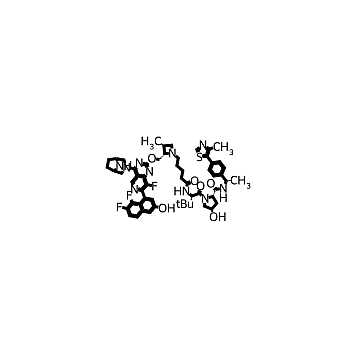 Cc1ncsc1-c1ccc([C@H](C)NC(=O)[C@@H]2C[C@@H](O)CN2C(=O)[C@@H](NC(=O)CCCCN2C[C@@H](C)[C@H]2COc2nc(N3CC4CCC(C3)N4)c3cnc(-c4cc(O)cc5ccc(F)c(F)c45)c(F)c3n2)C(C)(C)C)cc1